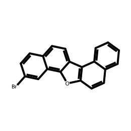 Brc1ccc2ccc3c(oc4ccc5ccccc5c43)c2c1